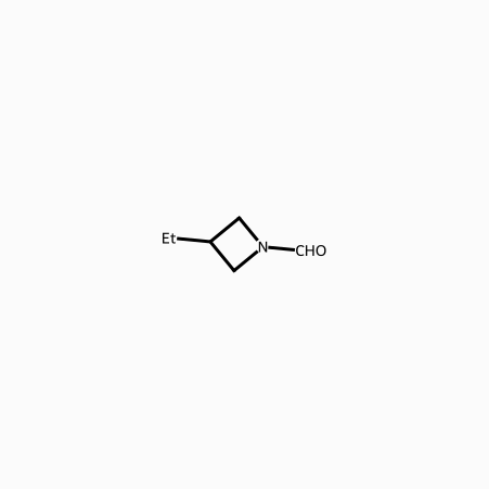 CCC1CN(C=O)C1